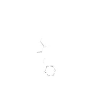 CC/C=C(\C)C(=O)OCc1ccccc1